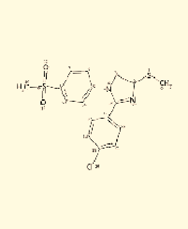 CSC1CN(c2ccc(S(C)(=O)=O)cc2)C(c2ccc(Cl)cc2)=N1